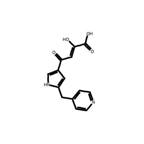 O=C(O)/C(O)=C/C(=O)c1c[nH]c(Cc2ccncc2)c1